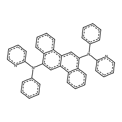 c1ccc(N(c2ccccn2)c2cc3c4ccccc4c(N(c4ccccc4)c4ccccn4)cc3c3ccccc23)cc1